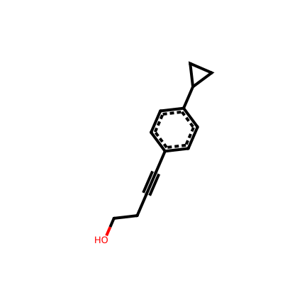 OCCC#Cc1ccc(C2CC2)cc1